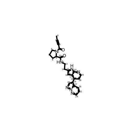 CC#CC(=O)N1CCCC1C(=O)NCCc1cc2c(-c3cnn4ncccc34)ccnc2[nH]1